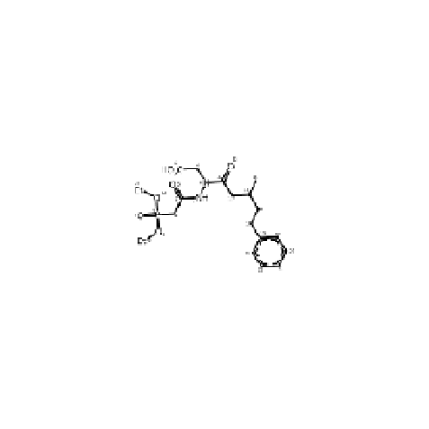 CCOP(=O)(CC(=O)NN(CC(=O)O)C(=O)CC(C)CCc1ccccc1)OCC